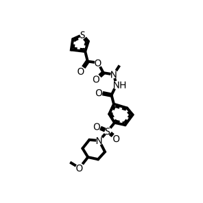 COC1CCN(S(=O)(=O)c2cccc(C(=O)NN(C)C(=O)OC(=O)c3ccsc3)c2)CC1